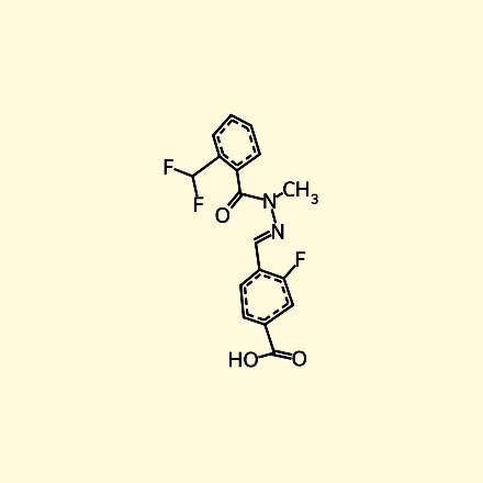 CN(/N=C/c1ccc(C(=O)O)cc1F)C(=O)c1ccccc1C(F)F